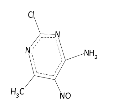 Cc1nc(Cl)nc(N)c1N=O